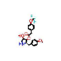 COc1ccc(C[C@H]2NC[C@H](O)[C@H]2OC(=O)Cc2ccc(OC(F)(F)F)cc2)cc1